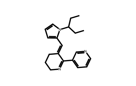 CCC(CC)n1cccc1C=C1CCCN=C1c1cccnc1